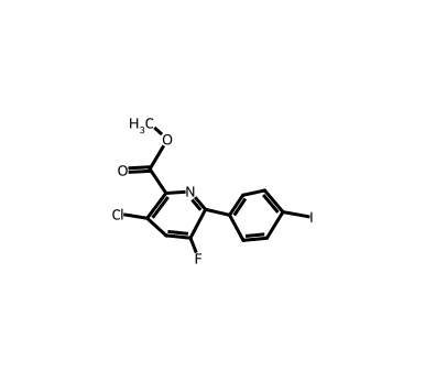 COC(=O)c1nc(-c2ccc(I)cc2)c(F)cc1Cl